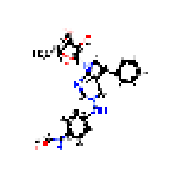 C[C@H]1O[C@@H](n2cc(-c3ccccc3)c3c2N=CN(Nc2ccc(NC=O)cc2)C3)[C@H](O)[C@@H]1O